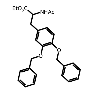 CCOC(=O)C(Cc1ccc(OCc2ccccc2)c(OCc2ccccc2)c1)NC(C)=O